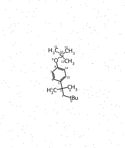 CC(C)(C)CC(C)(C)c1ccc(O[Si](C)(C)C)cc1